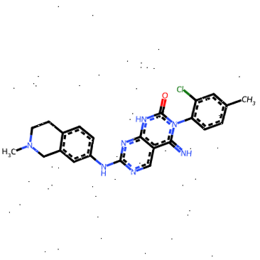 Cc1ccc(-n2c(=O)[nH]c3nc(Nc4ccc5c(c4)CN(C)CC5)ncc3c2=N)c(Cl)c1